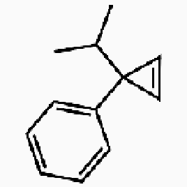 CC(C)C1(c2ccccc2)C=C1